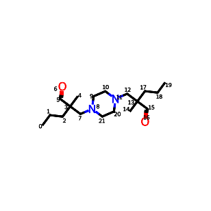 CCCC(C)(C=O)CN1CCN(CC(C)(C=O)CCC)CC1